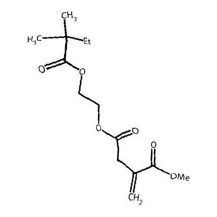 C=C(CC(=O)OCCOC(=O)C(C)(C)CC)C(=O)OC